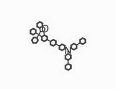 c1ccc(-c2ccc(N(c3ccc(-c4ccccc4)cc3)c3ccc(-c4ccc(-c5ccc6c(c5)C5Oc7ccccc7C5C6(c5ccccc5)c5ccccc5)cc4)cc3)cc2)cc1